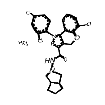 Cl.O=C(NN1CC2CCCC2C1)c1nn(-c2ccc(Cl)cc2Cl)c2c1COc1c(Cl)cccc1-2